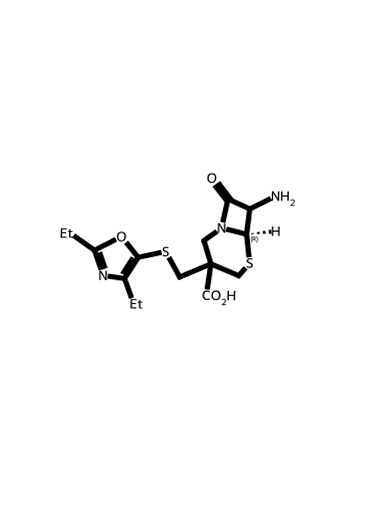 CCc1nc(CC)c(SCC2(C(=O)O)CS[C@@H]3C(N)C(=O)N3C2)o1